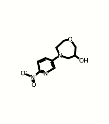 O=[N+]([O-])c1ccc(N2CCOCC(O)C2)cn1